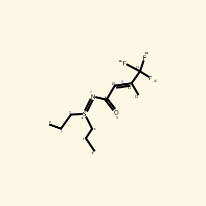 CCCS(CCC)=NC(=O)/C=C(\C)C(F)(F)F